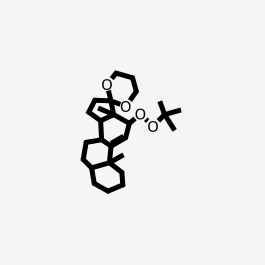 CC(C)(C)OOC1C=C2C(CCC3CCCCC23C)C2CCC3(OCCCO3)C12C